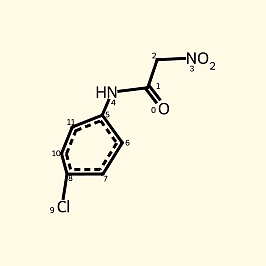 O=C(C[N+](=O)[O-])Nc1ccc(Cl)cc1